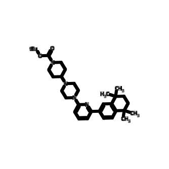 CC(C)(C)OC(=O)N1CCC(N2CCN(c3cccc(-c4ccc5c(c4)C(C)(C)CCC5(C)C)n3)CC2)CC1